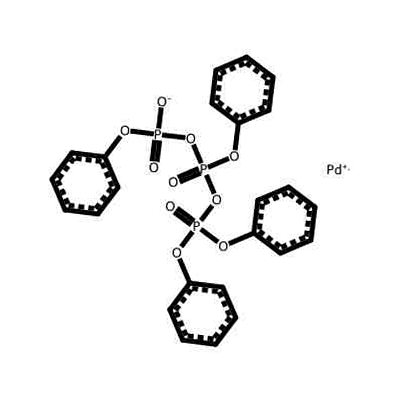 O=P([O-])(Oc1ccccc1)OP(=O)(Oc1ccccc1)OP(=O)(Oc1ccccc1)Oc1ccccc1.[Pd+]